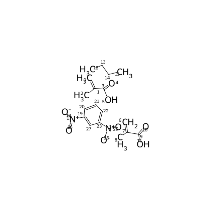 C=C(C)C(=O)O.C=C(C)C(=O)O.CCCC.O=[N+]([O-])c1cccc([N+](=O)[O-])c1